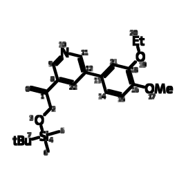 C=C(CO[Si](C)(C)C(C)(C)C)c1cncc(-c2ccc(OC)c(OCC)c2)c1